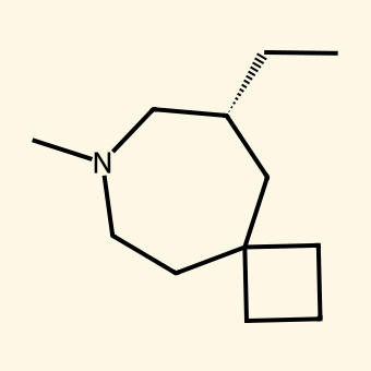 CC[C@H]1CN(C)CCC2(CCC2)C1